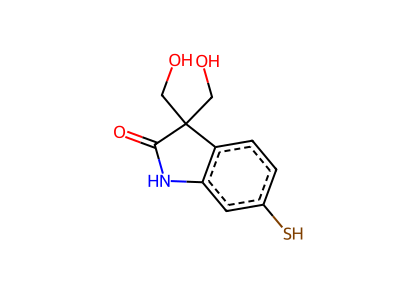 O=C1Nc2cc(S)ccc2C1(CO)CO